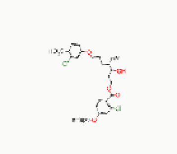 CCCCCCCOc1ccc(C(=O)OCCC(O)C(CCC)CCCOc2ccc(C(=O)O)c(Cl)c2)c(Cl)c1